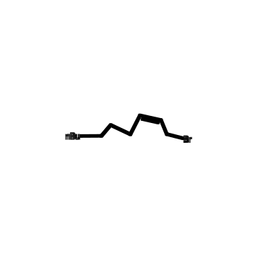 CCCCCCC/C=C\CBr